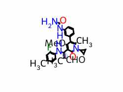 COc1c(-c2cccc(NC(N)=O)c2)c(C)n(C2CC2)c(=O)c1/C(Nc1ccc(C)cc1F)=C(/C)C=O